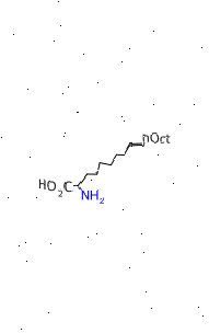 CCCCCCCC/C=C/CCCCCCC(N)C(=O)O